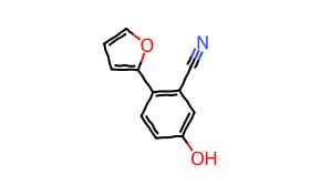 N#Cc1cc(O)ccc1-c1ccco1